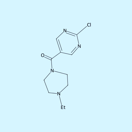 CCN1CCN(C(=O)c2cnc(Cl)nc2)CC1